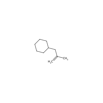 C=C(C)CC1CCCCC1